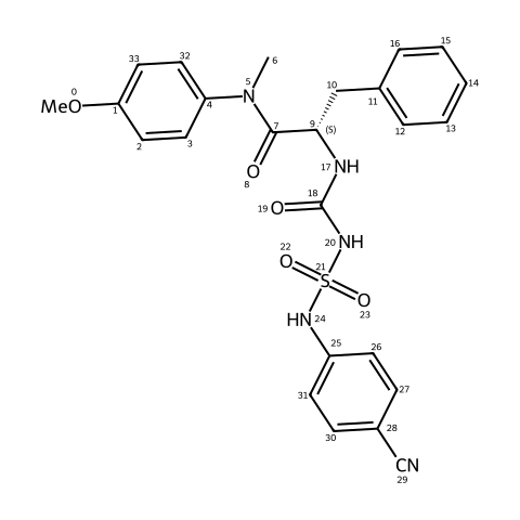 COc1ccc(N(C)C(=O)[C@H](Cc2ccccc2)NC(=O)NS(=O)(=O)Nc2ccc(C#N)cc2)cc1